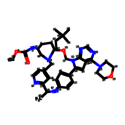 CC(C)(C)OC(=O)N[C@@H]1CCCN(Cc2ccnc(C(Nc3ccc(-c4cc5c(N6CCOCC6)ncnc5n4COCC[Si](C)(C)C)cc3)C(F)(F)F)c2)C1